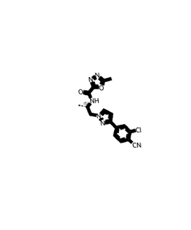 Cc1nnc(C(=O)N[C@@H](C)Cn2ccc(-c3ccc(C#N)c(Cl)c3)n2)o1